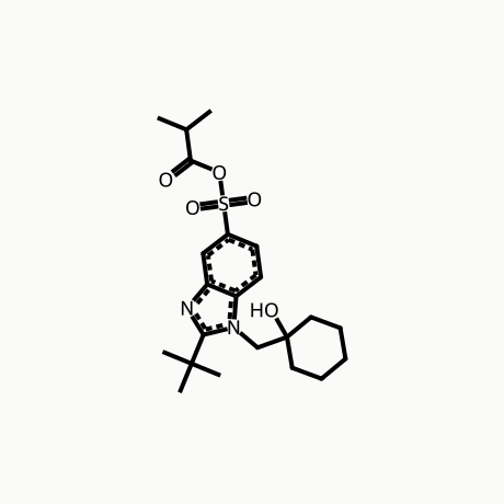 CC(C)C(=O)OS(=O)(=O)c1ccc2c(c1)nc(C(C)(C)C)n2CC1(O)CCCCC1